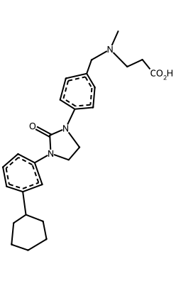 CN(CCC(=O)O)Cc1ccc(N2CCN(c3cccc(C4CCCCC4)c3)C2=O)cc1